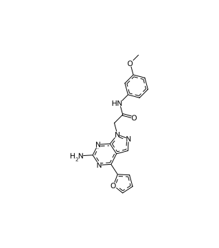 COc1cccc(NC(=O)Cn2ncc3c(-c4ccco4)nc(N)nc32)c1